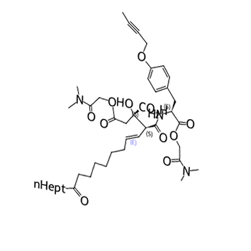 CC#CCOc1ccc(C[C@H](NC(=O)[C@@H](/C=C/CCCCCCC(=O)CCCCCCC)[C@@](O)(CC(=O)OCC(=O)N(C)C)C(=O)O)C(=O)OCC(=O)N(C)C)cc1